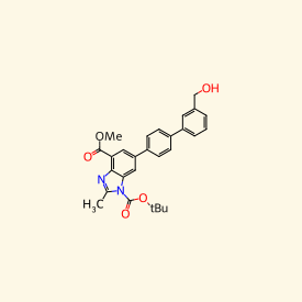 COC(=O)c1cc(-c2ccc(-c3cccc(CO)c3)cc2)cc2c1nc(C)n2C(=O)OC(C)(C)C